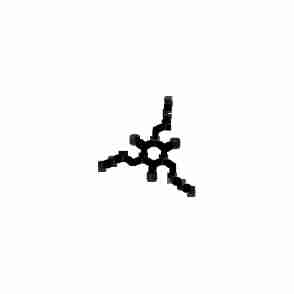 O=c1n(CN=C=S)c(=O)n(CN=C=S)c(=O)n1CN=C=S